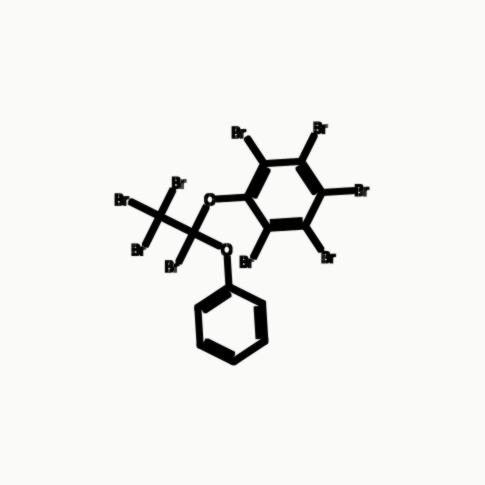 Brc1c(Br)c(Br)c(OC(Br)(Oc2ccccc2)C(Br)(Br)Br)c(Br)c1Br